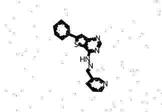 C(=NNc1ncnc2cc(-c3ccccc3)sc12)c1cccnc1